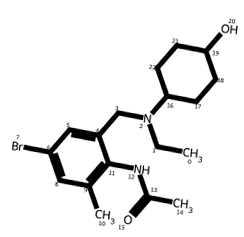 CCN(Cc1cc(Br)cc(C)c1NC(C)=O)C1CCC(O)CC1